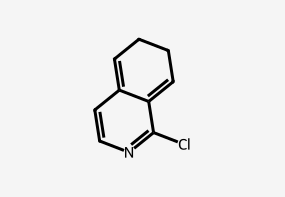 Clc1nccc2c1=CCCC=2